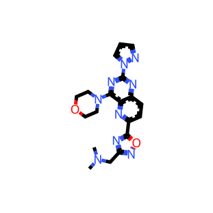 CN(C)Cc1noc(-c2ccc3nc(-n4cccn4)nc(N4CCOCC4)c3n2)n1